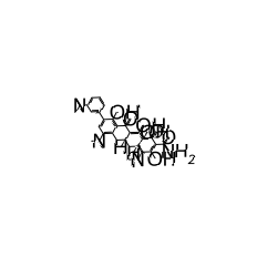 CN(C)c1cccc(-c2cc(N(C)C)c3c(c2O)C(=O)C2=C(O)[C@]4(O)C(=O)C(C(N)=O)=C(O)[C@@H](N(C)C)[C@@H]4C[C@@H]2C3)c1